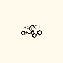 C1=C(CCN2CCCCC2)c2cccc(-c3ccccc3)c2C1.O=C(O)/C=C\C(=O)O